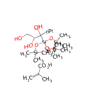 C=C(C)C(=O)O.CCCC(O)(C(O)CO)[Si](O[Si](C)(C)C)(O[Si](C)(C)C)O[Si](C)(C)C